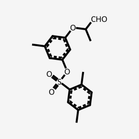 Cc1cc(OC(C)C=O)cc(OS(=O)(=O)c2cc(C)ccc2C)c1